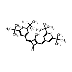 CC(C)(C)C1=CC(=CC2=C(O)C(=CC3=CC(C(C)(C)C)SC(C(C)(C)C)=C3)C2=O)C=C(C(C)(C)C)S1